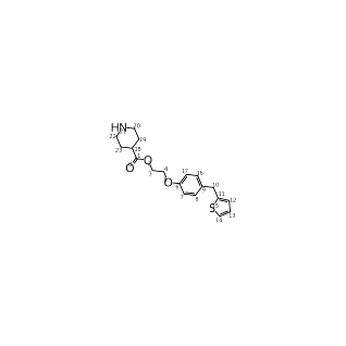 O=C(OCCOc1ccc(Cc2cccs2)cc1)C1CCNCC1